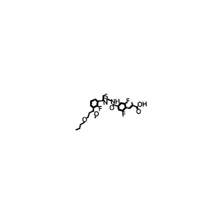 CCCCOCCC(OC)c1cccc(-c2csc(NC(=O)c3cc(F)c(C=C(C)C(=O)O)c(F)c3)n2)c1F